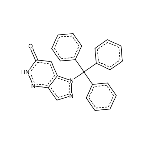 O=c1cc2c(cnn2C(c2ccccc2)(c2ccccc2)c2ccccc2)n[nH]1